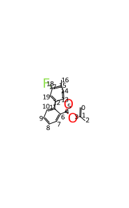 C=C(C)OC(=O)c1ccccc1-c1ccc(C)c(F)c1